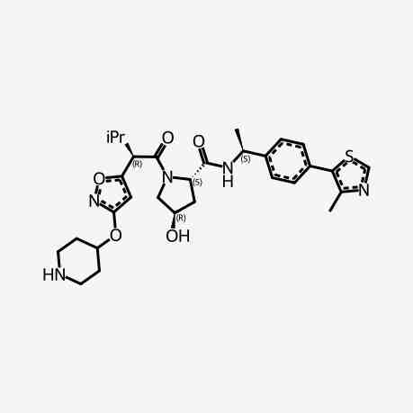 Cc1ncsc1-c1ccc([C@H](C)NC(=O)[C@@H]2C[C@@H](O)CN2C(=O)[C@@H](c2cc(OC3CCNCC3)no2)C(C)C)cc1